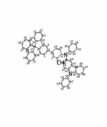 CC1C=C(c2ccc3c(c2)-c2ccccc2C3(c2ccccc2)c2ccccc2)C=CC1N(c1ccccc1)c1ccc2c(c1)c1ccccc1n2-c1ccccc1